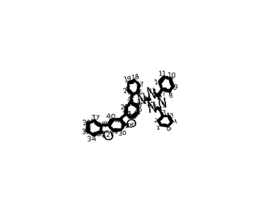 c1ccc(-c2nc(-c3ccccc3)nc(-n3c4ccccc4c4cc5c(cc43)oc3cc4oc6ccccc6c4cc35)n2)cc1